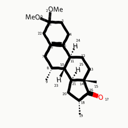 COC1(OC)CCC2=C(C[C@@H](C)[C@@H]3[C@@H]2CC[C@]2(C)C(=O)[C@H](C)C[C@@H]32)C1